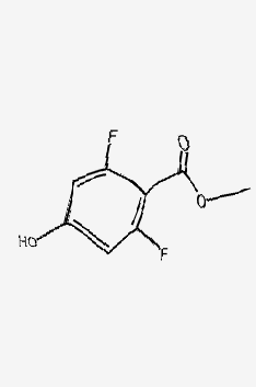 COC(=O)c1c(F)cc(O)cc1F